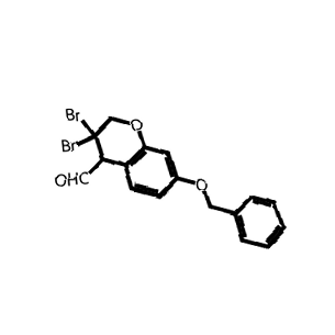 O=CC1c2ccc(OCc3ccccc3)cc2OCC1(Br)Br